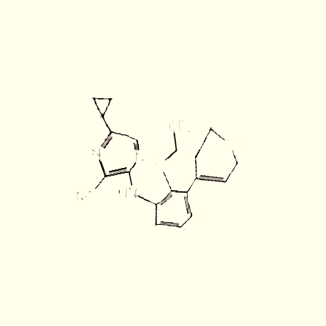 N#Cc1nc(C2CC2)cnc1Nc1cccc(C2=CCOCC2)c1OCC(F)(F)F